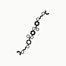 C=CC(=C)OCCCOc1ccc(C(=O)Oc2ccc(OC(=O)C3CCC(OCCCOC(=C)C=C)CC3)cc2)cc1